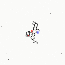 CSc1c(-c2nccc3c2c(OSc2ccccc2)cc2c(CC(C)(C)C)cccc23)cc2cc(C)ccc2c1CC(C)(C)C